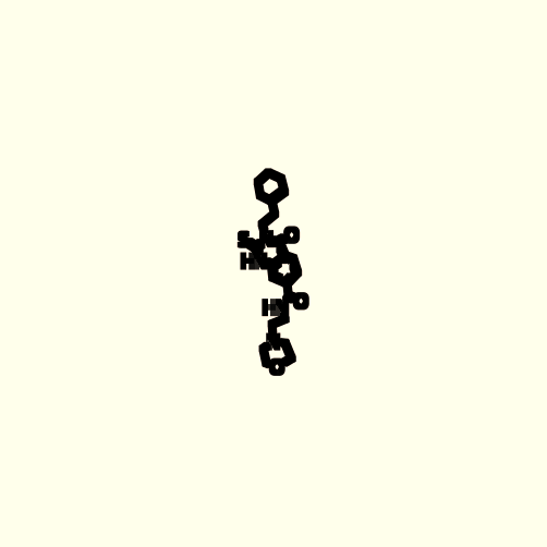 O=C(NCCN1CCOCC1)c1ccc2c(=O)n(CCC3=CCCCC3)c(=S)[nH]c2c1